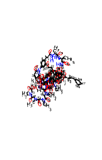 C[C@H](NC(=O)CCc1ccc(N2C(=O)C=CC2=O)cc1OCCCC(=O)N(C)CC(=O)N(C)CC(=O)N(C)CC(=O)N(C)CC(=O)N(C)CC(=O)N(C)CC(=O)N(C)CC(=O)N(C)CC(=O)N(C)CC(=O)N(C)CC(=O)O)C(=O)N[C@@H](C)C(=O)NCOCC(=O)[C@@]12O[C@H](/C=C/C3CCC3)O[C@@H]1C[C@H]1[C@@H]3CCC4=CC(=O)C=C[C@]4(C)[C@H]3[C@@H](O)C[C@@]12C